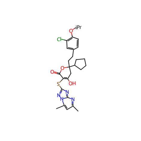 Cc1cc(C)n2nc(SC3=C(O)CC(CCc4ccc(OC(C)C)c(Cl)c4)(C4CCCC4)OC3=O)nc2n1